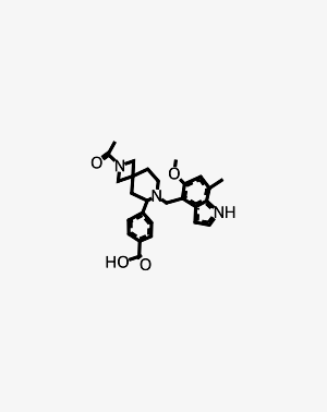 COc1cc(C)c2[nH]ccc2c1CN1CCC2(CC1c1ccc(C(=O)O)cc1)CN(C(C)=O)C2